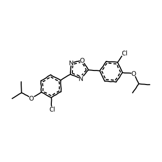 CC(C)Oc1ccc(-c2noc(-c3ccc(OC(C)C)c(Cl)c3)n2)cc1Cl